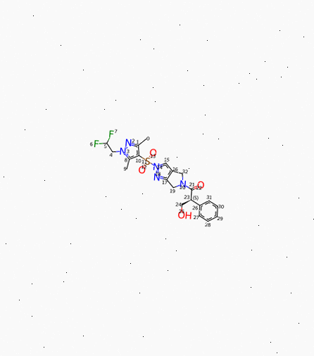 Cc1nn(CC(F)F)c(C)c1S(=O)(=O)n1cc2c(n1)CN(C(=O)[C@H](CO)c1ccccc1)C2